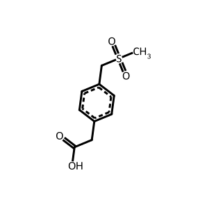 CS(=O)(=O)Cc1ccc(CC(=O)O)cc1